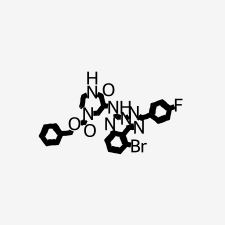 O=C1NCCN(C(=O)OCc2ccccc2)CC1Nc1nc2cccc(Br)c2c2nc(-c3ccc(F)cc3)nn12